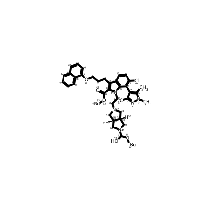 Cc1nn(C)c(C)c1-c1c(Cl)ccc2c(CCCOc3cccc4ccccc34)c(C(=O)OC(C)(C)C)n(CCN3C[C@@H]4CN(C(O)OC(C)(C)C)C[C@@H]4C3)c12